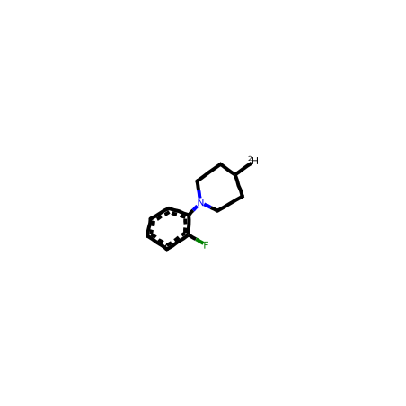 [2H]C1CCN(c2ccccc2F)CC1